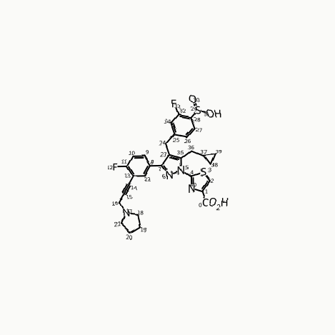 O=C(O)c1csc(-n2nc(-c3ccc(F)c(C#CCN4CCCC4)c3)c(Cc3ccc(S(=O)O)c(F)c3)c2CC2CC2)n1